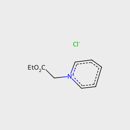 CCOC(=O)C[n+]1ccccc1.[Cl-]